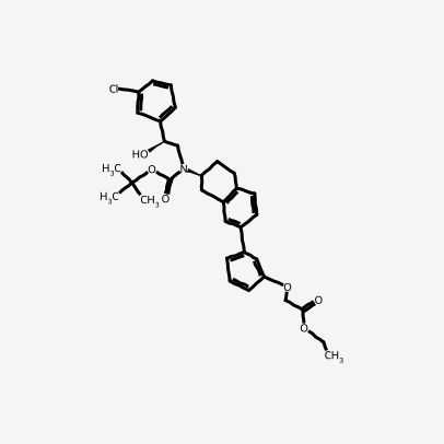 CCOC(=O)COc1cccc(-c2ccc3c(c2)C[C@@H](N(C[C@@H](O)c2cccc(Cl)c2)C(=O)OC(C)(C)C)CC3)c1